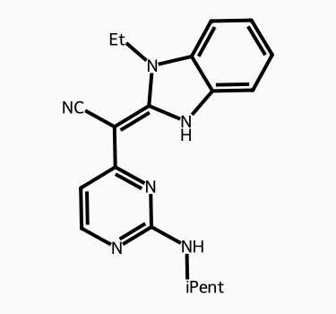 CCCC(C)Nc1nccc(/C(C#N)=C2\Nc3ccccc3N2CC)n1